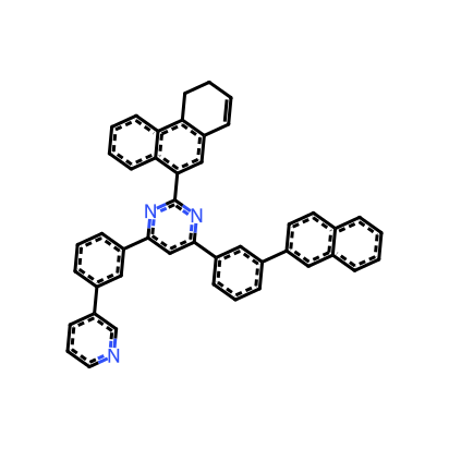 C1=Cc2cc(-c3nc(-c4cccc(-c5cccnc5)c4)cc(-c4cccc(-c5ccc6ccccc6c5)c4)n3)c3ccccc3c2CC1